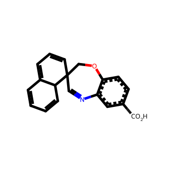 O=C(O)c1ccc2c(c1)N=CC1(C=CC=C3C=CC=CC31)CO2